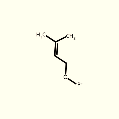 CC(C)=CCOC(C)C